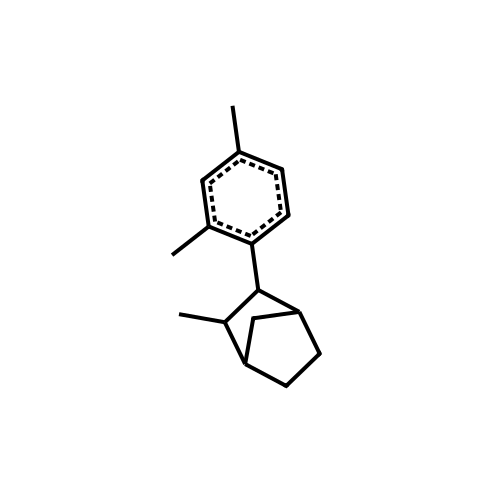 Cc1ccc(C2C3CCC(C3)C2C)c(C)c1